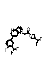 O=C(Cn1ncc2ncc(-c3ccc(F)c(C(F)F)c3)cc21)N1CC(C(F)F)C1